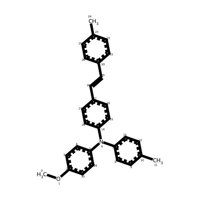 COc1ccc(N(c2ccc(C)cc2)c2ccc(C=Cc3ccc(C)cc3)cc2)cc1